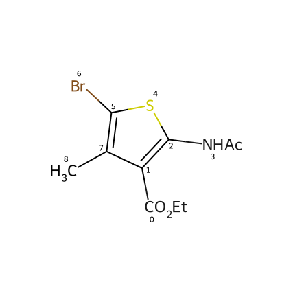 CCOC(=O)c1c(NC(C)=O)sc(Br)c1C